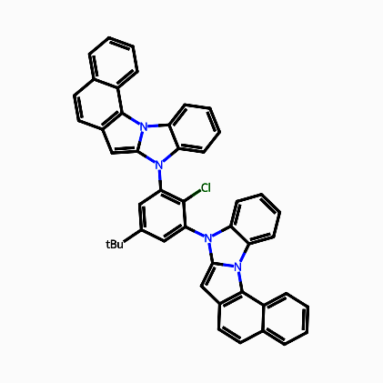 CC(C)(C)c1cc(-n2c3ccccc3n3c4c(ccc5ccccc54)cc23)c(Cl)c(-n2c3ccccc3n3c4c(ccc5ccccc54)cc23)c1